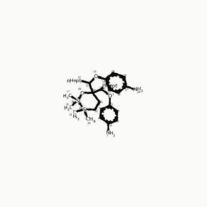 CCCCCCCC(Oc1ccc(N)cc1)C1(C(CCCCCCC)Oc2ccc(N)cc2)CC[Si](C)(C)[Si](C)(C)O1